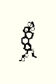 CCSc1cc2c(cc1OCOC)CCC1C2CC[C@@]2(C)C1CCC21OCCO1